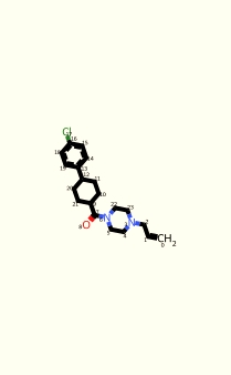 C=CCN1CCN(C(=O)C2CCC(c3ccc(Cl)cc3)CC2)CC1